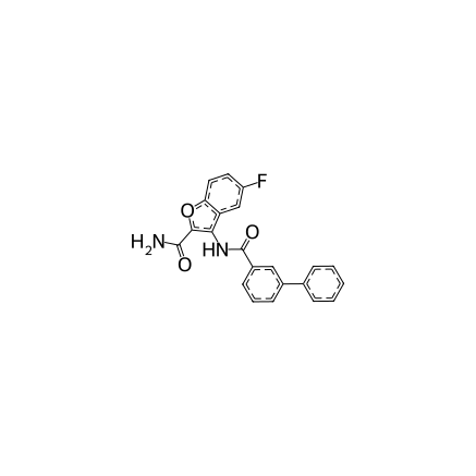 NC(=O)c1oc2ccc(F)cc2c1NC(=O)c1cccc(-c2ccccc2)c1